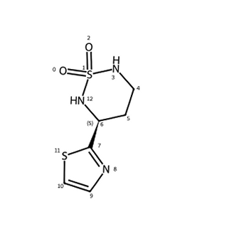 O=S1(=O)NCC[C@@H](c2nccs2)N1